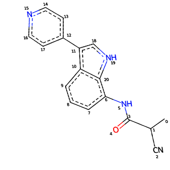 CC(C#N)C(=O)Nc1cccc2c(-c3ccncc3)c[nH]c12